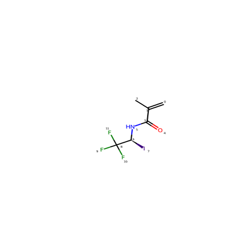 C=C(C)C(=O)N[C@@H](I)C(F)(F)F